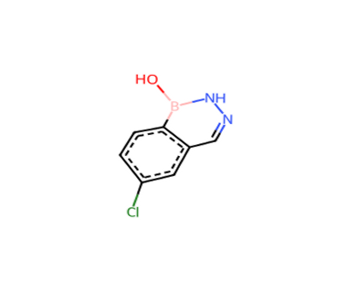 OB1NN=Cc2cc(Cl)ccc21